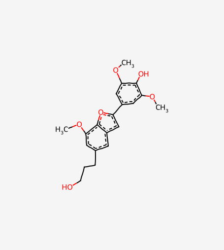 COc1cc(-c2cc3cc(CCCO)cc(OC)c3o2)cc(OC)c1O